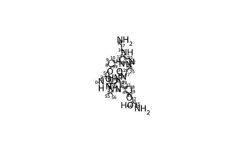 CNCC(O)COc1cccc(-c2cc(NCCCN)c3cnn(C(C)CCN(C)C(=O)Nc4cc(-c5cccc(OCC(O)CN)c5)nc5c4cnn5C(C)C)c3n2)c1